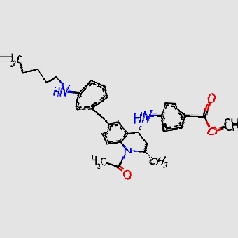 CCCCCNc1cccc(-c2ccc3c(c2)[C@H](Nc2ccc(C(=O)OC)cc2)C[C@H](C)N3C(C)=O)c1